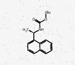 C[C@@H](NC(=O)OC(C)(C)C)c1cccc2ccccc12